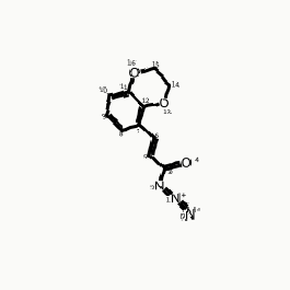 [N-]=[N+]=NC(=O)/C=C/c1cccc2c1OCCO2